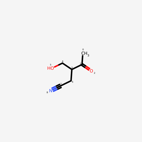 CC(=O)C(CO)CC#N